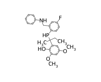 CCC(C)(Pc1ccc(F)cc1CNc1ccccc1)c1cc(OC)cc(OC)c1O